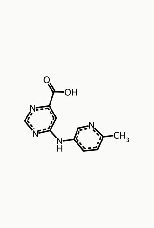 Cc1ccc(Nc2cc(C(=O)O)ncn2)cn1